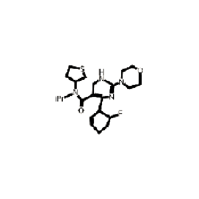 CC(C)N(C(=O)C1=C(C2C=CCCC2F)N=C(N2CCOCC2)NC1)C1CCSC1